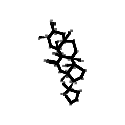 C[C@H]1C[C@@]2(C)[C@@H](CC[C@H]3[C@@H]4CC[C@H](C5(C)OCCO5)[C@@]4(C)CC(=O)[C@@H]32)C[C@@H]1O